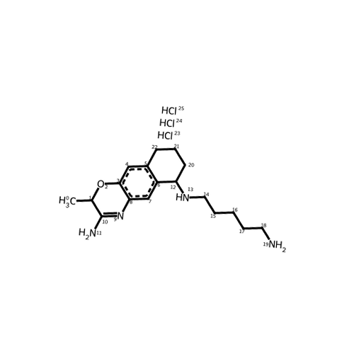 CC1Oc2cc3c(cc2N=C1N)C(NCCCCCN)CCC3.Cl.Cl.Cl